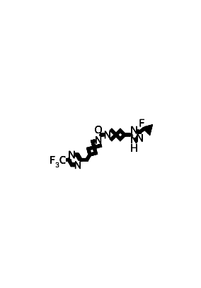 O=C(N1CC2(CC(Cc3cnc(C(F)(F)F)cn3)C2)C1)N1CC2(CC(c3nc(C4(F)CC4)n[nH]3)C2)C1